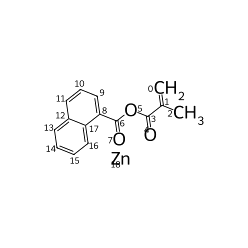 C=C(C)C(=O)OC(=O)c1cccc2ccccc12.[Zn]